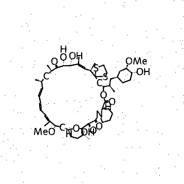 CO[C@H]1C[C@@H]2CC[C@@H](C)[C@@](O)(O2)C(=O)C(=O)N2CCCC[C@H]2C(=O)O[C@H]([C@H](C)C[C@@H]2CC[C@@H](O)[C@H](OC)C2)CC2(SCCS2)[C@H](C)/C=C(\C)[C@@H](O)[C@@H](O)C(=O)[C@H](C)C[C@H](C)/C=C/C=C/C=C/1C